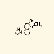 COc1c(Br)ccc2c(-n3cccn3)cccc12